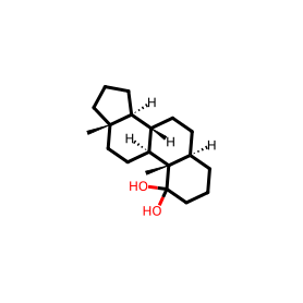 C[C@@]12CCC[C@H]1[C@@H]1CC[C@H]3CCCC(O)(O)[C@]3(C)[C@H]1CC2